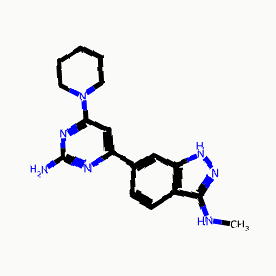 CNc1n[nH]c2cc(-c3cc(N4CCCCC4)nc(N)n3)ccc12